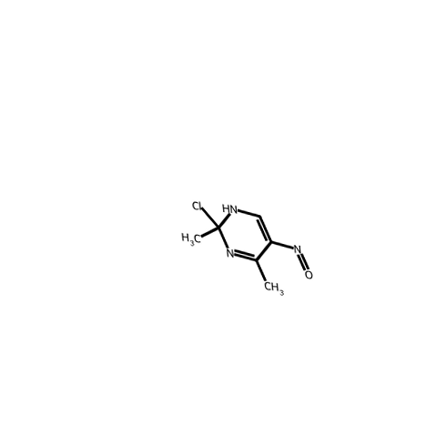 CC1=NC(C)(Cl)NC=C1N=O